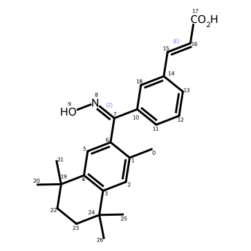 Cc1cc2c(cc1/C(=N\O)c1cccc(/C=C/C(=O)O)c1)C(C)(C)CCC2(C)C